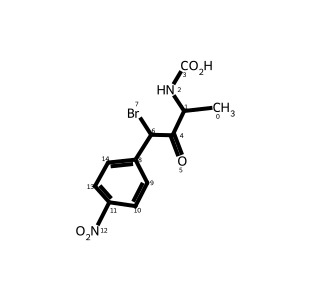 CC(NC(=O)O)C(=O)C(Br)c1ccc([N+](=O)[O-])cc1